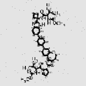 COC(=O)N[C@H](C(=O)NC1(c2nc3ccc(-c4ccc(-c5ccc6c(c5)OCCc5nc([C@@H]7CCCN7C(=O)[C@@H](NC(=O)OC)C(C)C)[nH]c5-6)cc4)cc3[nH]2)CCC1)C(C)C